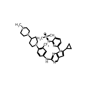 CN1CCN(C2CCN(c3ccc(Nc4ncc5cc(C6CC6)n(-c6cccc(N=S(C)(C)=O)n6)c5n4)cc3C(F)(F)F)CC2)CC1